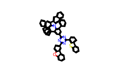 c1ccc(-c2cccc(-c3cc(-c4nc(-c5ccc6oc7ccccc7c6c5)nc(-c5cccc6c5sc5ccccc56)n4)cc(-c4ccccc4)c3-n3c4cc5ccccc5cc4c4ccc5ccccc5c43)c2)cc1